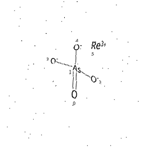 O=[As]([O-])([O-])[O-].[Re+3]